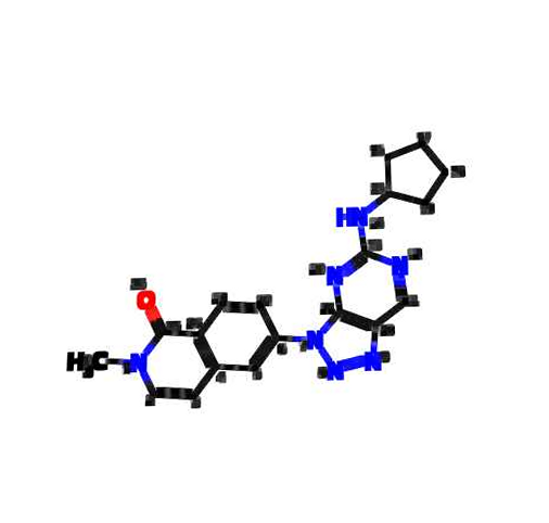 Cn1ccc2cc(-n3nnc4cnc(NC5CCCC5)nc43)ccc2c1=O